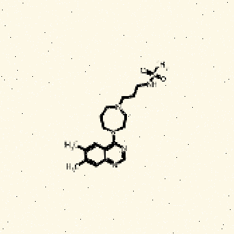 Cc1cc2ncnc(N3CCCN(CCCNS(C)(=O)=O)CC3)c2cc1C